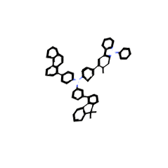 CC1Cc2c(c3ccccc3n2-c2ccccc2)C=C1c1c#cc(N(c2ccc(-c3cccc4c3ccc3ccccc34)cc2)c2cccc(-c3cccc4c3-c3ccccc3C4(C)C)c2)cc1